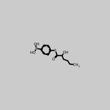 CCCCC(O)C(=O)Sc1ccc(B(O)O)cc1